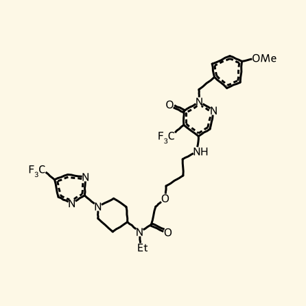 CCN(C(=O)COCCCNc1cnn(Cc2ccc(OC)cc2)c(=O)c1C(F)(F)F)C1CCN(c2ncc(C(F)(F)F)cn2)CC1